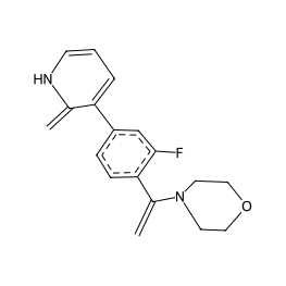 C=C1NC=CC=C1c1ccc(C(=C)N2CCOCC2)c(F)c1